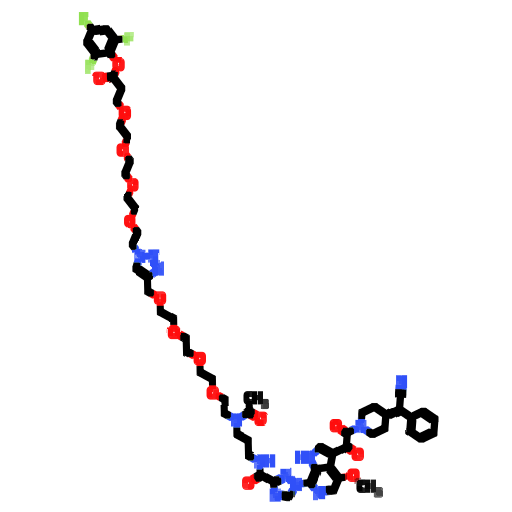 COc1cnc(-n2cnc(C(=O)NCCCN(CCOCCOCCOCCOCc3cn(CCOCCOCCOCCOCCC(=O)Oc4c(F)cc(F)cc4F)nn3)C(C)=O)n2)c2[nH]cc(C(=O)C(=O)N3CCC(=C(C#N)c4ccccc4)CC3)c12